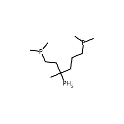 CP(C)CCCC(C)(P)CCP(C)C